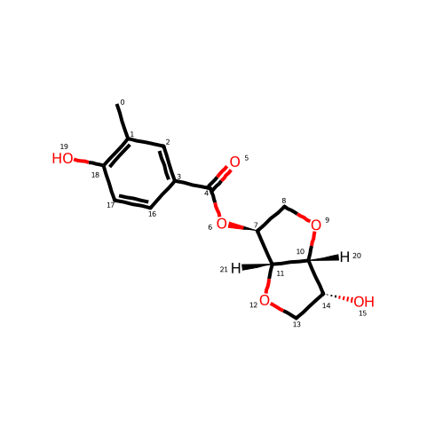 Cc1cc(C(=O)O[C@H]2CO[C@H]3[C@@H]2OC[C@H]3O)ccc1O